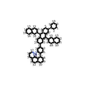 c1ccc(-c2ccc3c(-c4ccc5ccccc5c4)c4ccc(-c5ccc(-c6cccc7ccc8cccnc8c67)cc5)cc4c(-c4ccc5ccccc5c4)c3c2)cc1